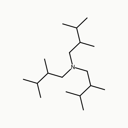 CC(C)C(C)CN(CC(C)C(C)C)CC(C)C(C)C